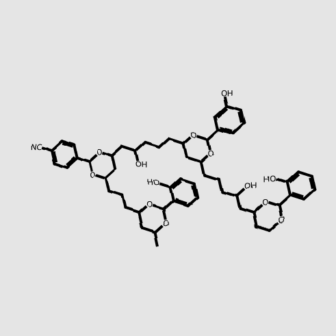 CC1CC(CCCC2CC(CC(O)CCCC3CC(CCCC(O)CC4CCOC(c5ccccc5O)O4)OC(c4cccc(O)c4)O3)OC(c3ccc(C#N)cc3)O2)OC(c2ccccc2O)O1